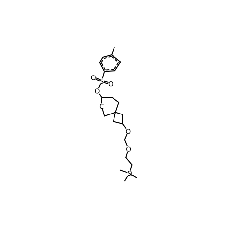 Cc1ccc(S(=O)(=O)OC2CCC3(CC2)CC(OCOCC[Si](C)(C)C)C3)cc1